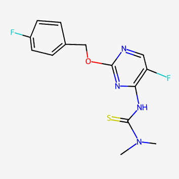 CN(C)C(=S)Nc1nc(OCc2ccc(F)cc2)ncc1F